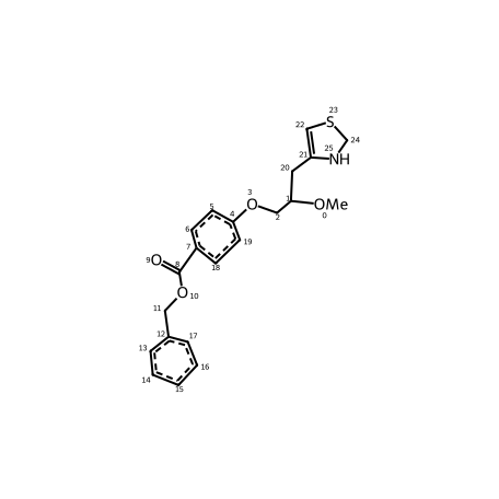 COC(COc1ccc(C(=O)OCc2ccccc2)cc1)CC1=CSCN1